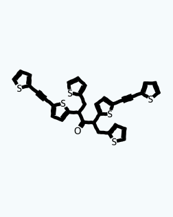 O=C(C(Cc1cccs1)c1ccc(C#Cc2cccs2)s1)C(Cc1cccs1)c1ccc(C#Cc2cccs2)s1